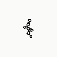 c1ccc(-c2ccc(-n3c4ccccc4c4cc5c(cc43)c3ccccc3n5-c3cccc(-c4ccccc4)c3)cc2)cc1